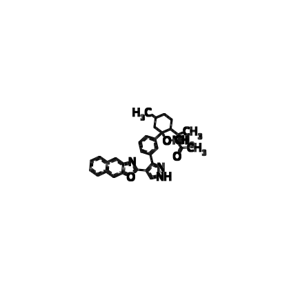 CC(=O)NOC1(c2cccc(-c3n[nH]cc3-c3nc4cc5ccccc5cc4o3)c2)CC(C)CCC1C(C)C